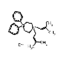 CC(C)=CC[N+]1(CC=C(C)C)CC[Si](c2ccccc2)(c2ccccc2)CC1.[Br-]